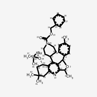 CC1OC(c2ccc(C(F)(F)F)cc2)c2c1nc1c(c2C2CCN(C(=O)OCc3ccccc3)CC2)[C@@H](O[Si](C)(C)C(C)(C)C)CC(C)(C)C1